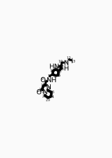 O=C(NCc1ccc2cc(CNCI)[nH]c2c1)c1cc(=O)n2ccccc2n1